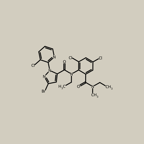 CCN(C)C(=O)c1cc(Cl)cc(Cl)c1N(CC)C(=O)c1cc(Br)nn1-c1ncccc1Cl